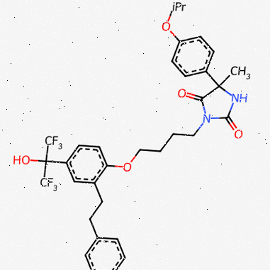 CC(C)Oc1ccc(C2(C)NC(=O)N(CCCCOc3ccc(C(O)(C(F)(F)F)C(F)(F)F)cc3CCc3ccccc3)C2=O)cc1